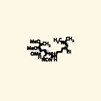 C=N/C(C)=C\N(CC)CCCN/C(=N/C#N)N/C(C)=C/C(OC)=C(/OC)C(=C)OC